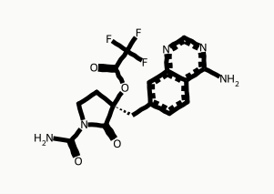 NC(=O)N1CC[C@@](Cc2ccc3c(N)ncnc3c2)(OC(=O)C(F)(F)F)C1=O